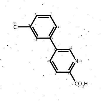 O=C(O)c1ccc(-c2cccc(Cl)c2)cn1